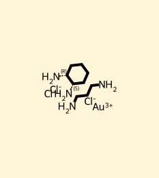 NCCCN.N[C@@H]1CCCC[C@@H]1N.[Au+3].[Cl-].[Cl-].[Cl-]